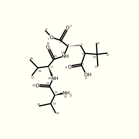 COC(=O)[C@H](CC(C(=O)O)C(C)(C)C)NC(=O)[C@@H](NC(=O)[C@@H](N)C(C)C)C(C)C